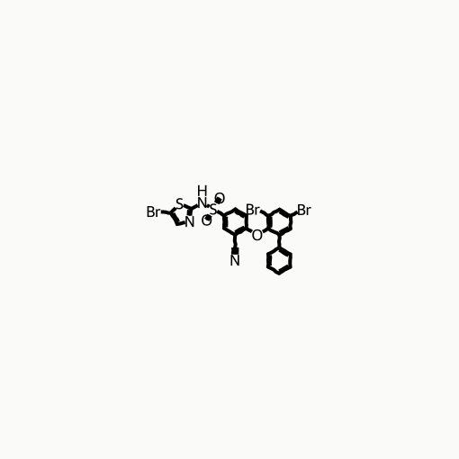 N#Cc1cc(S(=O)(=O)Nc2ncc(Br)s2)ccc1Oc1c(Br)cc(Br)cc1-c1ccccc1